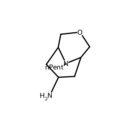 CCCCCN1C2COCC1CC(N)C2